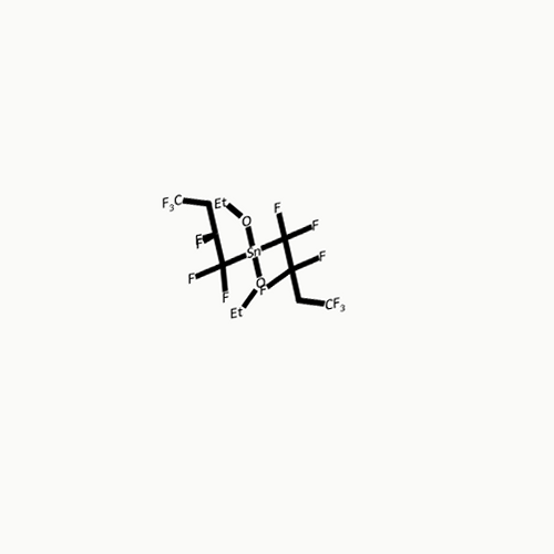 CC[O][Sn]([O]CC)([C](F)(F)C(F)(F)CC(F)(F)F)[C](F)(F)C(F)(F)CC(F)(F)F